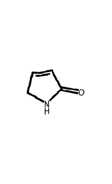 O=C1C=CCN1